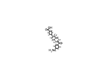 CC1(C)C(c2ccc(C(=O)O)cc2)=CC[C@]2(C)CN(C(=O)c3ccc(CN)cc3)CC=C12